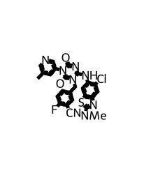 CNc1nc2cc(Cl)c(Nc3nc(=O)n(-c4cncc(C)c4)c(=O)n3Cc3ccc(F)c(C#N)c3)cc2s1